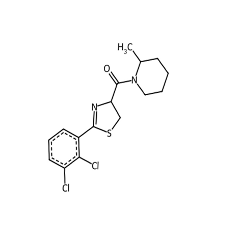 CC1CCCCN1C(=O)C1CSC(c2cccc(Cl)c2Cl)=N1